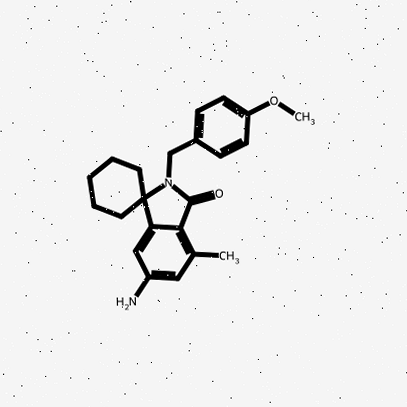 COc1ccc(CN2C(=O)c3c(C)cc(N)cc3C23CCCCC3)cc1